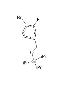 CC(C)[Si](OCc1ccc(Br)c(F)c1)(C(C)C)C(C)C